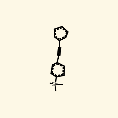 C[Si](C)(C)c1ccc(C#Cc2ccccc2)cc1